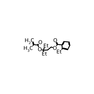 C=C(C)C(=O)OC(CC)(CC)CCOC(=O)c1ccccc1CC